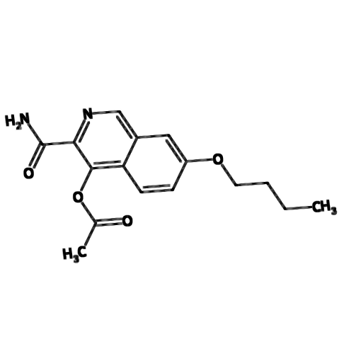 CCCCOc1ccc2c(OC(C)=O)c(C(N)=O)ncc2c1